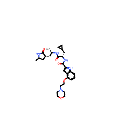 CC1C[C@@H](C[C@@H](C#N)NC(=O)[C@H](CC2CC2)NC(=O)c2cc3c(OCCN4CCOCC4)cccc3[nH]2)C(=O)N1